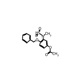 CC(=O)Oc1ccc(OCc2ccccc2)c(N(C)[SH](=O)=O)c1